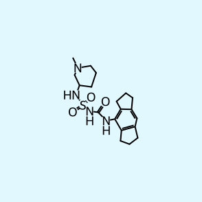 CN1CCCC(NS(=O)(=O)NC(=O)Nc2c3c(cc4c2CCC4)CCC3)C1